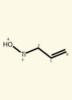 C=C[CH2][Ti][OH]